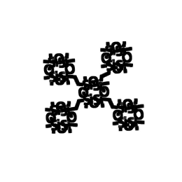 C[Si]1(C)O[Si](C)(C)O[Si](C)(CC[Si]2(C)O[Si](C)(CC[Si]3(C)O[Si](C)(C)O[Si](C)(C)O[Si](C)(C)O3)O[Si](C)(CC[Si]3(C)O[Si](C)(C)O[Si](C)(C)O[Si](C)(C)O3)O[Si](C)(CC[Si]3(C)O[Si](C)(C)O[Si](C)(C)O[Si](C)(C)O3)O2)O[Si](C)(C)O1